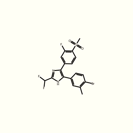 Cc1cc(-c2[nH]c(C(F)F)nc2-c2ccc(S(C)(=O)=O)c(F)c2)ccc1Br